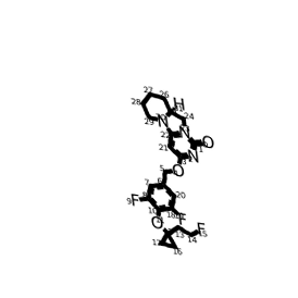 O=c1nc(OCc2cc(F)c(OC3(CCF)CC3)c(F)c2)cc2n1C[C@H]1CCCCN21